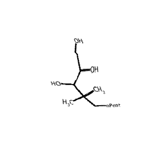 CCCCCCC(C)(C)C(O)C(O)CO